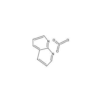 O=S(=O)=O.c1cnc2ncccc2c1